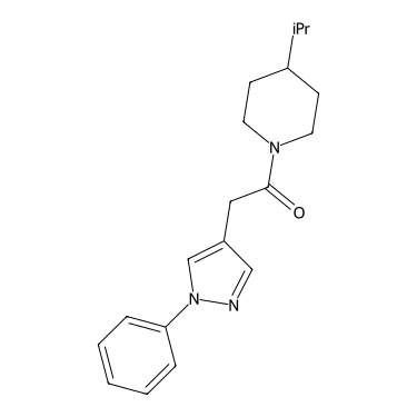 CC(C)C1CCN(C(=O)Cc2cnn(-c3ccccc3)c2)CC1